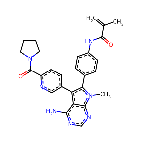 C=C(C)C(=O)Nc1ccc(-c2c(-c3ccc(C(=O)N4CCCC4)nc3)c3c(N)ncnc3n2C)cc1